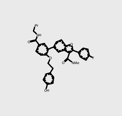 CNC(=O)c1c(-c2ccc(F)cc2)oc2ccc(-c3cc(C(=O)NCC(C)C)ccc3OCCc3ccc(O)cc3)cc12